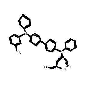 C=C/C(=C\C(C)=C/C)N(c1ccccc1)c1ccc(-c2ccc(N(c3ccccc3)c3cccc(C)c3)cc2)cc1